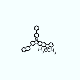 CC1(C)c2ccccc2-c2cc3cc4c(cc3cc21)c1cc(-c2ccc3ccccc3c2)ccc1n4-c1ccc(-c2ccccc2)cc1